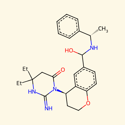 CCC1(CC)CC(=O)N([C@@H]2CCOc3ccc(C(O)N[C@@H](C)c4ccccc4)cc32)C(=N)N1